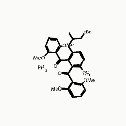 COc1cccc(OC)c1C(=O)c1c(O)ccc(CC(C)CC(C)(C)C)c1C(=O)c1c(OC)cccc1OC.P